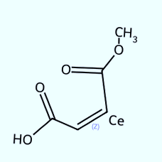 COC(=O)/C=C\C(=O)O.[Ce]